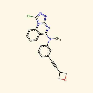 CN(c1cccc(C#CC2COC2)c1)c1nc2nnc(Cl)n2c2ccccc12